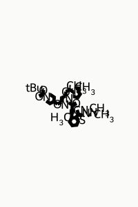 C[C@H](Oc1cc(OC2CCN(C(=O)OC(C)(C)C)CC2)nc(C(=O)C#C[C@@]2(C)CCCc3sc(/N=C/N(C)C)c(C#N)c32)n1)[C@@H]1CCCN1C